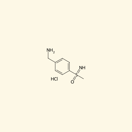 CS(=N)(=O)c1ccc(CN)cc1.Cl